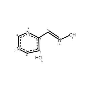 Cl.ON=Cc1ccncn1